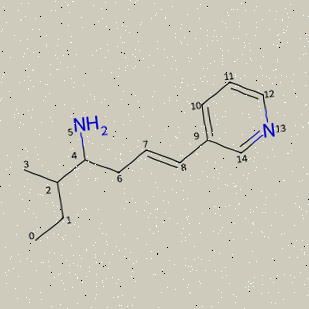 CCC(C)C(N)CC=Cc1cccnc1